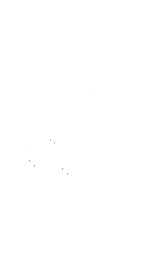 COc1cc2c(Cl)nc3nccn3c2cc1OC